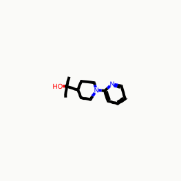 CC(C)(O)C1CCN(c2cc[c]cn2)CC1